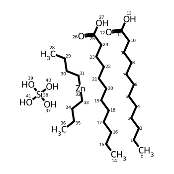 CCCCCCCCCCCC(=O)O.CCCCCCCCCCCC(=O)O.CCC[CH2][Zn][CH2]CCC.O[Si](O)(O)O